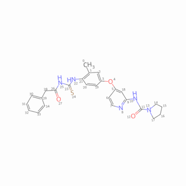 Cc1cc(Oc2ccnc(NC(=O)N3CCCC3)c2)ccc1NC(=S)NC(=O)Cc1ccccc1